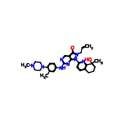 C=CCn1c(=O)c2cnc(Nc3ccc(N4CCN(C)CC4)c(C)c3)nc2n1-c1ccc2c(n1)C(C)(O)CCC2